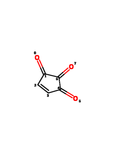 O=c1ccc(=O)c1=O